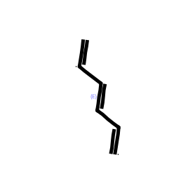 [CH]=C/C=C/[C]=C